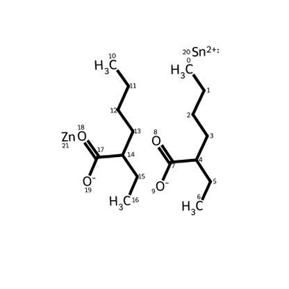 CCCCC(CC)C(=O)[O-].CCCCC(CC)C(=O)[O-].[Sn+2].[Zn]